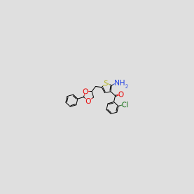 Nc1sc(CC2COC(c3ccccc3)O2)cc1C(=O)c1ccccc1Cl